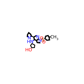 Cc1ccc(S(=O)(=O)n2ccc3c(N[C@@H]4CC[C@H](O)C4)c(-c4ccccn4)cnc32)cc1